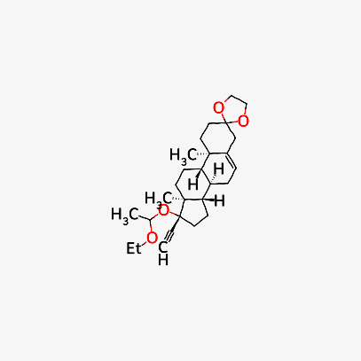 C#C[C@]1(OC(C)OCC)CC[C@H]2[C@@H]3CC=C4CC5(CC[C@]4(C)[C@H]3CC[C@@]21C)OCCO5